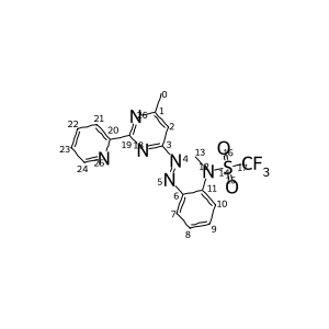 Cc1cc(N=Nc2ccccc2N(C)S(=O)(=O)C(F)(F)F)nc(-c2ccccn2)n1